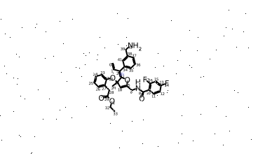 C=C/C(=C1/OC(CNC(=O)c2ccc(F)cc2F)=CC1(C)Oc1ccccc1CC(=O)OCC)c1cccc(CN)c1